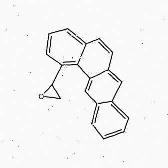 c1ccc2cc3c(ccc4cccc(C5CO5)c43)cc2c1